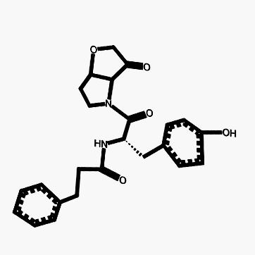 O=C(CCc1ccccc1)N[C@@H](Cc1ccc(O)cc1)C(=O)N1CCC2OCC(=O)C21